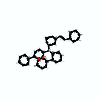 C(=C\c1cccc(N(c2ccc(-c3ccccc3)cc2)c2ccccc2-c2ccccc2)c1)/c1ccccc1